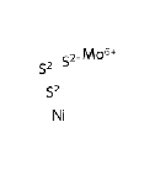 [Mo+6].[Ni].[S-2].[S-2].[S-2]